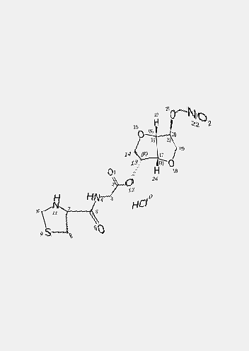 Cl.O=C(CNC(=O)C1CSCN1)O[C@@H]1CO[C@H]2[C@@H]1OC[C@@H]2O[N+](=O)[O-]